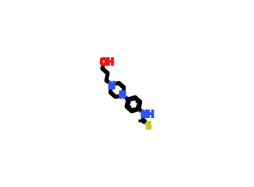 OCCCN1CCN(c2ccc(N[C]=S)cc2)CC1